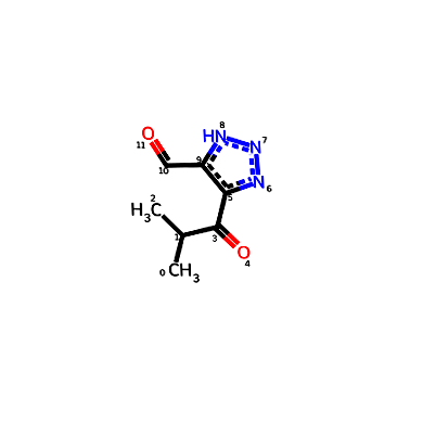 CC(C)C(=O)c1nn[nH]c1C=O